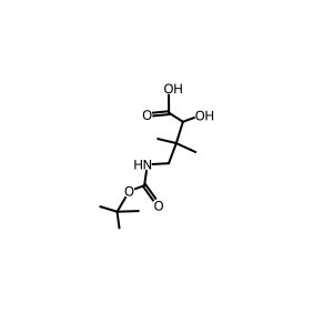 CC(C)(C)OC(=O)NCC(C)(C)C(O)C(=O)O